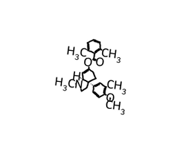 COc1ccc([C@@]23CCC(OC(=O)c4c(C)cccc4C)=C[C@@H]2N(C)CC3)cc1C